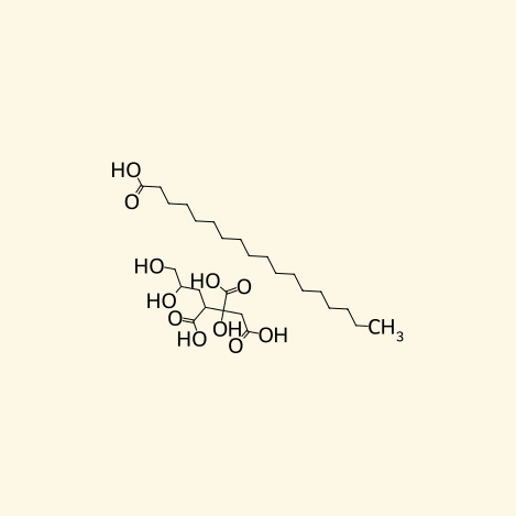 CCCCCCCCCCCCCCCCCC(=O)O.O=C(O)CC(O)(C(=O)O)C(CC(O)CO)C(=O)O